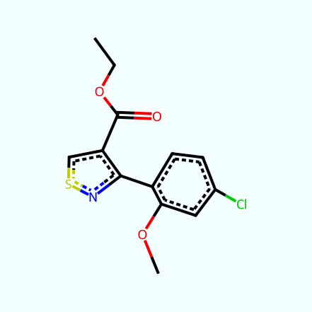 CCOC(=O)c1csnc1-c1ccc(Cl)cc1OC